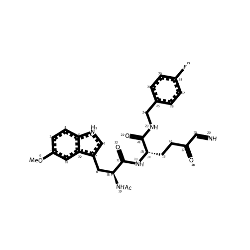 COc1ccc2[nH]cc(C[C@H](NC(C)=O)C(=O)N[C@@H](CCC(=O)C=N)C(=O)NCc3ccc(F)cc3)c2c1